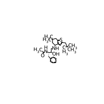 CC(=O)N[C@@H](Cc1ccccc1)[C@H](O)CN[C@H]1CC(C)(C)Cc2sc(CC(C)(C)C)cc21